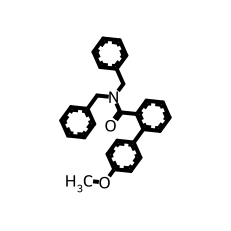 COc1ccc(-c2ccccc2C(=O)N(Cc2ccccc2)Cc2ccccc2)cc1